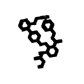 CCOC(=O)COc1nccnc1C1=CCC(OCC2C(NC(=O)OC(C)(C)C)CCCN2C(=O)OCc2ccccc2)CC1